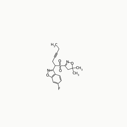 CCC#CCC(c1noc2cc(F)ccc12)S(=O)(=O)C1=NOC(C)(C)C1